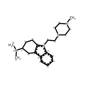 CN1CCN(CCn2c3c(c4ccccc42)CC(N(C)C)CC3)CC1